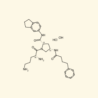 Cl.Cl.NCCC[C@@H](N)C(=O)N1C[C@@H](NC(=O)CCCc2ccccc2)C[C@H]1C(=O)Nc1ccc2c(c1)CCC2